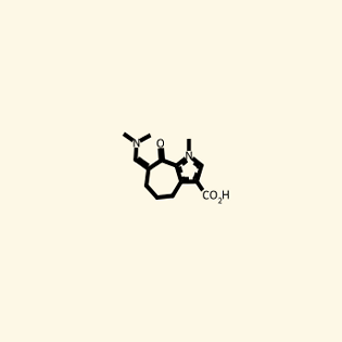 CN(C)C=C1CCCc2c(C(=O)O)cn(C)c2C1=O